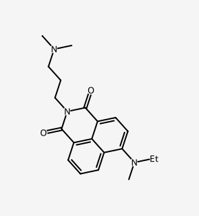 CCN(C)c1ccc2c3c(cccc13)C(=O)N(CCCN(C)C)C2=O